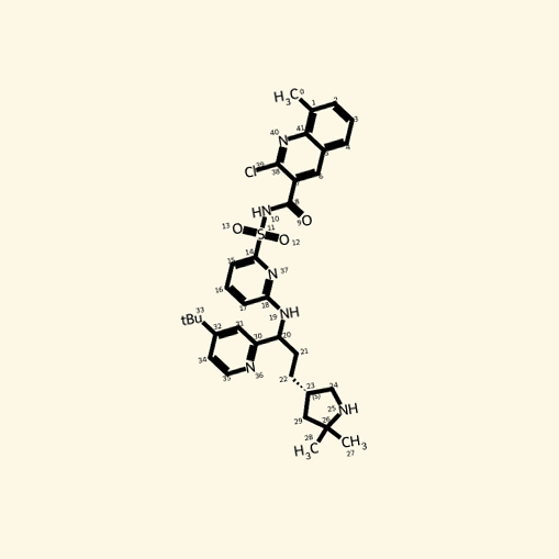 Cc1cccc2cc(C(=O)NS(=O)(=O)c3cccc(NC(CC[C@@H]4CNC(C)(C)C4)c4cc(C(C)(C)C)ccn4)n3)c(Cl)nc12